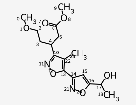 COCCC(CC(=O)OC)c1noc(-c2cc(C(C)O)on2)c1C